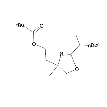 CCCCCCCCCCC(C)C1=NC(C)(CCOC(=O)C(C)(C)C)CO1